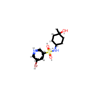 CC1(O)CCC(NS(=O)(=O)c2cncc(Br)c2)CC1